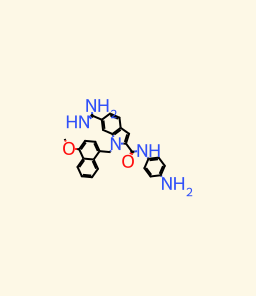 COc1ccc(Cn2c(C(=O)Nc3ccc(N)cc3)cc3ccc(C(=N)N)cc32)c2ccccc12